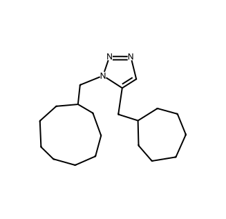 c1nnn(CC2CCCCCCCC2)c1CC1CCCCCC1